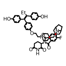 CCC(=C(c1ccc(O)cc1)c1ccc(OCCN2CCC(CN3CC4CCC(C3)N4c3cc4c(cc3F)C(=O)N(C3CCC(=O)NC3=O)C4=O)CC2)cc1)c1ccc(O)cc1